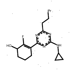 CC(C)CCc1nc(NC2CC2)nc(C2=C(F)C(O)CCC2)n1